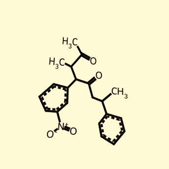 CC(=O)C(C)C(C(=O)CC(C)c1ccccc1)c1cccc([N+](=O)[O-])c1